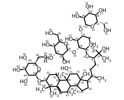 C[C@H](CC[C@@H](O[C@@H]1OC[C@@H](O[C@H]2O[C@@H](CO)[C@H](O)[C@@H](O)[C@@H]2O)[C@H](O)[C@H]1O[C@H]1OC(CO)[C@H](O)[C@@H](O)[C@@H]1O)C(C)(C)O)C1CC[C@@]2(C)C3CC=C4C(CC[C@H](O[C@@H]5O[C@H](CO)[C@@H](O)[C@H](O)[C@H]5O)C4(C)C)[C@]3(C)[C@H](O)C[C@]12C